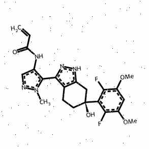 C=CC(=O)Nc1cnn(C)c1-c1n[nH]c2c1CC[C@@](O)(c1c(F)c(OC)cc(OC)c1F)C2